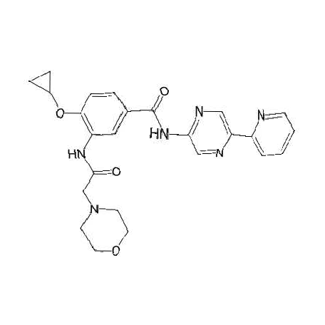 O=C(CN1CCOCC1)Nc1cc(C(=O)Nc2cnc(-c3ccccn3)cn2)ccc1OC1CC1